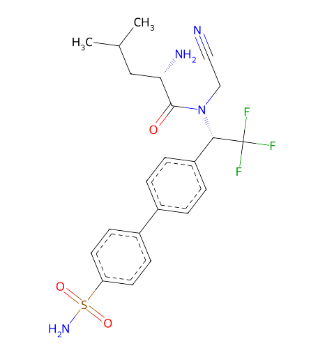 CC(C)C[C@H](N)C(=O)N(CC#N)[C@@H](c1ccc(-c2ccc(S(N)(=O)=O)cc2)cc1)C(F)(F)F